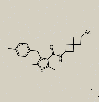 CC(=O)C1CC2(CC(NC(=O)c3c(C)sc(C)c3Cc3ccc(C)cc3)C2)C1